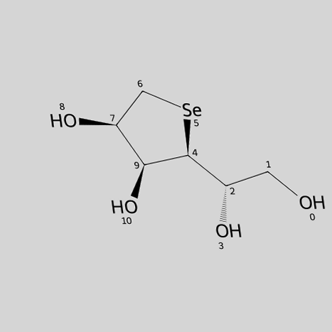 OC[C@H](O)[C@@H]1[Se]C[C@H](O)[C@@H]1O